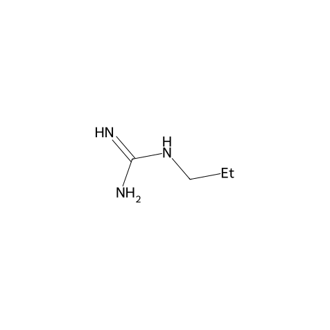 CCCNC(=N)N